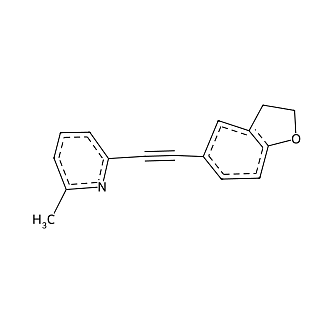 Cc1cccc(C#Cc2ccc3c(c2)CCO3)n1